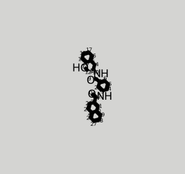 O=C(Nc1cccc(C(=O)N[C@H](CO)Cc2ccccc2)c1)c1ccc2ccccc2c1